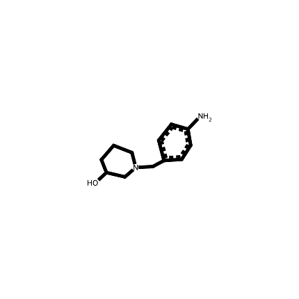 Nc1ccc(CN2CCCC(O)C2)cc1